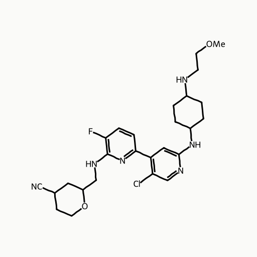 COCCNC1CCC(Nc2cc(-c3ccc(F)c(NCC4CC(C#N)CCO4)n3)c(Cl)cn2)CC1